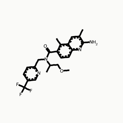 COCC(C)N(Cc1ccc(C(F)(F)F)cn1)C(=O)c1ccc2nc(N)c(C)cc2c1C